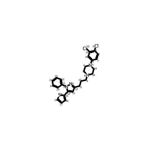 Clc1ccc(N2CCN(CCCc3cc(-c4cccs4)n(-c4ccccc4)n3)CC2)cc1Cl